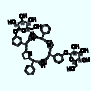 OC[C@H]1O[C@@H](Oc2cccc(-c3c4nc(c(-c5ccccc5)c5ccc([nH]5)c(-c5cccc(OC6O[C@H](CO)[C@@H](O)[C@H](O)[C@H]6O)c5)c5nc(c(-c6ccccc6)c6ccc3[nH]6)C=C5)CC4)c2)[C@H](O)[C@@H](O)[C@@H]1O